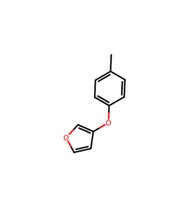 Cc1ccc(Oc2ccoc2)cc1